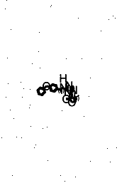 C[C@H](Nc1ncnc(N2C(=O)OC[C@@H]2C)n1)c1ccc(Oc2ccccc2)cc1